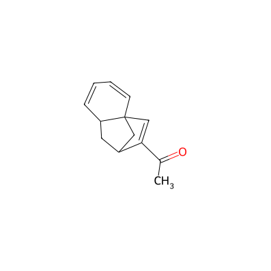 CC(=O)C1=CC23C=CC=CC2CC1C3